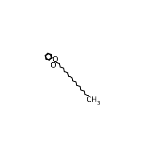 CCCCCCCCCCCCCCCCC(=O)Oc1ccccc1